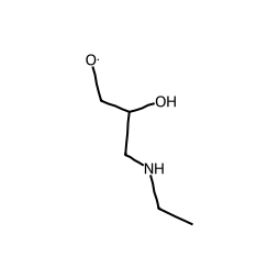 CCNCC(O)C[O]